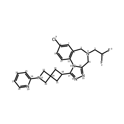 FC(F)CN1Cc2cc(Cl)ccc2-n2c(nnc2C2CC3(C2)CN(c2ccccn2)C3)C1